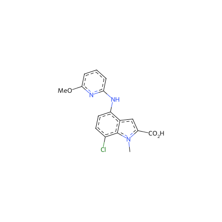 COc1cccc(Nc2ccc(Cl)c3c2cc(C(=O)O)n3C)n1